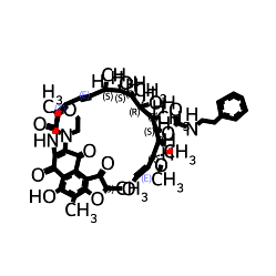 CO[C@H]1/C=C/O[C@@]2(C)Oc3c(C)c(O)c4c(c3C2=O)C(=O)C(N2CCOCC2)=C(NC(=O)/C(C)=C\C=C\[C@H](C)[C@H](O)[C@@H](C)[C@@H](O)[C@@H](C)[C@H](OC(=O)NCCc2ccccc2)[C@@H]1C)C4=O